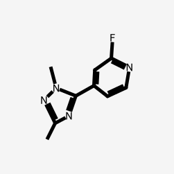 Cc1nc(-c2ccnc(F)c2)n(C)n1